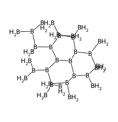 BB(B)B(B)B(B(B)B)B(B(B(B)B)B(B)B)B(B(B(B)B)B(B)B)B(B(B)B)B(B)B